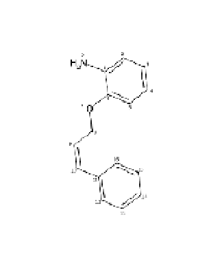 Nc1ccccc1OC/C=C\c1ccccc1